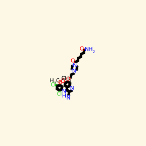 COc1cc(Nc2c(C#N)cnc3cc(OCCCN4CCN(C(=O)CCCCCC(N)=O)CC4)c(OC)cc23)c(Cl)cc1Cl